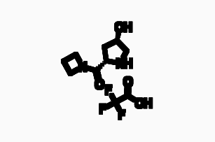 O=C(O)C(F)(F)F.O=C([C@@H]1C[C@@H](O)CN1)N1CCC1